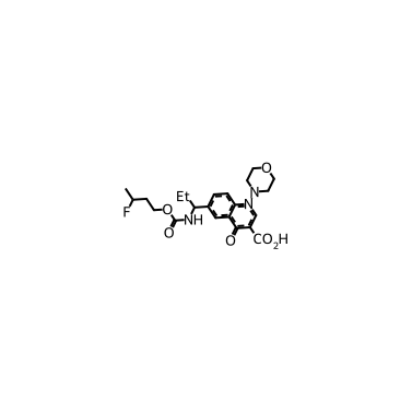 CCC(NC(=O)OCCC(C)F)c1ccc2c(c1)c(=O)c(C(=O)O)cn2N1CCOCC1